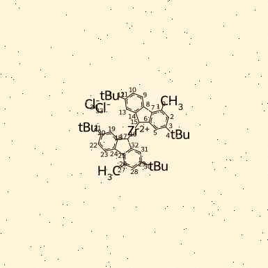 Cc1cc(C(C)(C)C)cc2c1-c1ccc(C(C)(C)C)cc1[CH]2[Zr+2][CH]1c2cc(C(C)(C)C)ccc2-c2c(C)cc(C(C)(C)C)cc21.[Cl-].[Cl-]